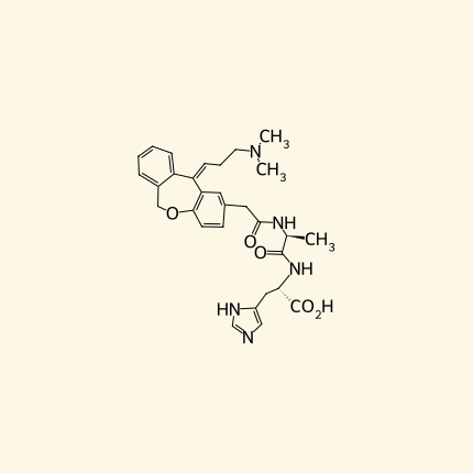 C[C@H](NC(=O)Cc1ccc2c(c1)/C(=C\CCN(C)C)c1ccccc1CO2)C(=O)N[C@@H](Cc1cnc[nH]1)C(=O)O